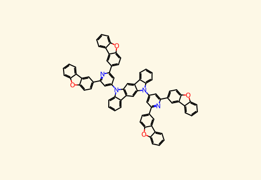 c1ccc2c(c1)oc1ccc(-c3cc(-n4c5ccccc5c5cc6c(cc54)c4ccccc4n6-c4cc(-c5ccc6oc7ccccc7c6c5)nc(-c5ccc6oc7ccccc7c6c5)c4)cc(-c4ccc5oc6ccccc6c5c4)n3)cc12